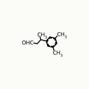 Cc1cc(C)cc(C(C)CC=O)c1